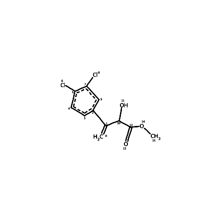 C=C(c1ccc(Cl)c(Cl)c1)C(O)C(=O)OC